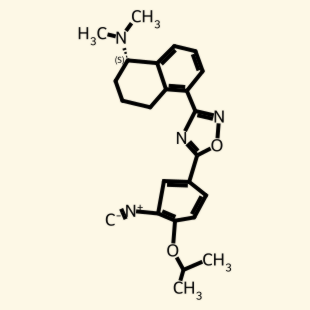 [C-]#[N+]c1cc(-c2nc(-c3cccc4c3CCC[C@@H]4N(C)C)no2)ccc1OC(C)C